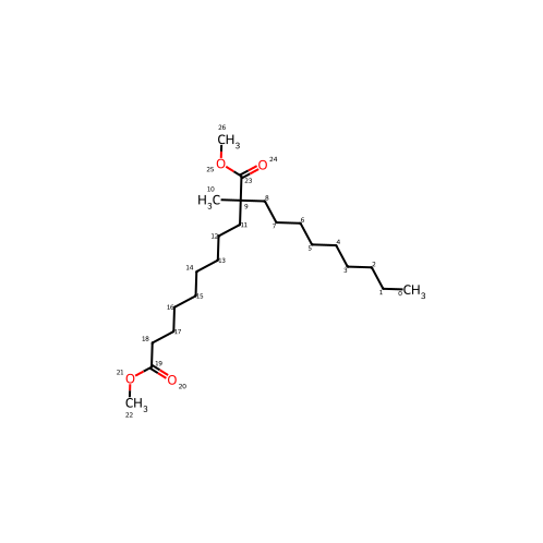 CCCCCCCCCC(C)(CCCCCCCCC(=O)OC)C(=O)OC